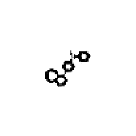 IN(c1ccccc1)c1ccc([C@H]2C=CC=C3CC=CC=CC32)cc1